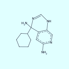 Nc1cc2c(cn1)NC=NC2(N)C1CCCCC1